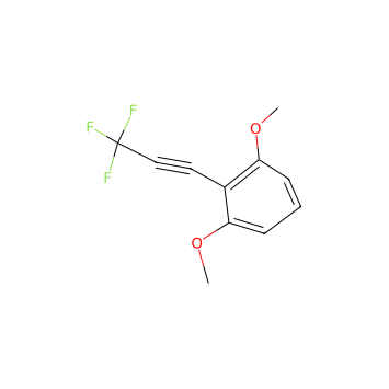 COc1cccc(OC)c1C#CC(F)(F)F